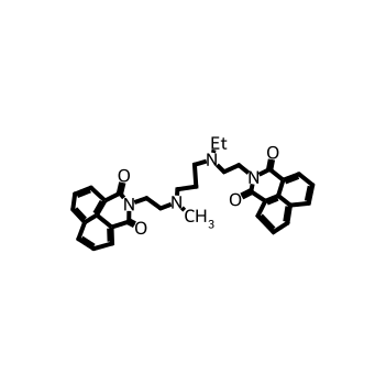 CCN(CCCN(C)CCN1C(=O)c2cccc3cccc(c23)C1=O)CCN1C(=O)c2cccc3cccc(c23)C1=O